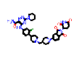 NC(=O)c1nnc(N2CCCCC2)nc1Nc1ccc(C2CCN(CC3CCN(c4ccc5c(c4)C(=O)N(C4CCC(=O)NC4=O)C5=O)CC3)CC2)c(F)c1